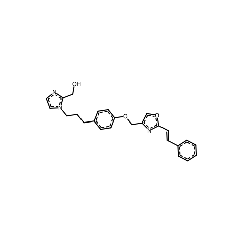 OCc1nccn1CCCc1ccc(OCc2coc(C=Cc3ccccc3)n2)cc1